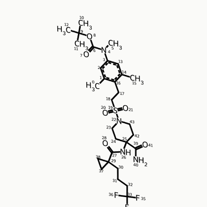 Cc1cc(N(C)C(=O)OC(C)(C)C)cc(C)c1CCS(=O)(=O)N1CCC(NC(=O)C2(CCCC(F)(F)F)CC2)(C(N)=O)CC1